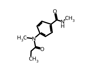 CCC(=O)N(C)c1ccc(C(=O)NC)cc1